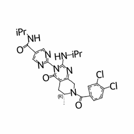 CC(C)NC(=O)c1cnc(-n2c(NC(C)C)nc3c(c2=O)C[C@@H](C)N(C(=O)c2ccc(Cl)c(Cl)c2)C3)nc1